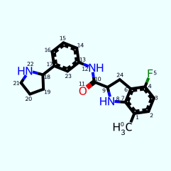 Cc1ccc(F)c2c1NC(C(=O)Nc1cccc(C3CCCN3)c1)C2